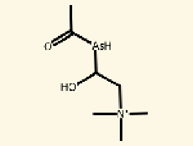 CC(=O)[AsH]C(O)C[N+](C)(C)C